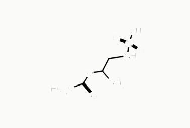 CS(=O)(=O)NCC(N)OC(=O)C(=O)O